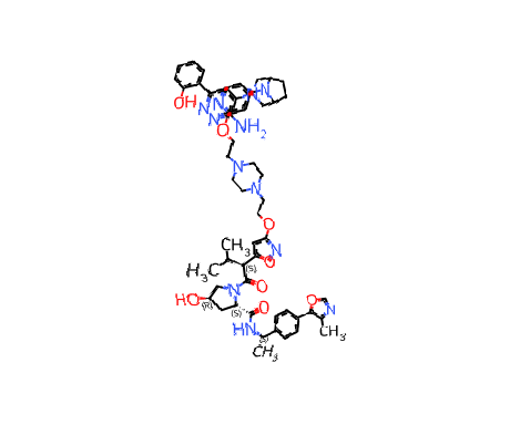 Cc1ncoc1-c1ccc([C@H](C)NC(=O)[C@@H]2C[C@@H](O)CN2C(=O)[C@H](c2cc(OCCN3CCN(CCOc4cc(N5C6CCC5CN(c5cc(-c7ccccc7O)nnc5N)C6)ccn4)CC3)no2)C(C)C)cc1